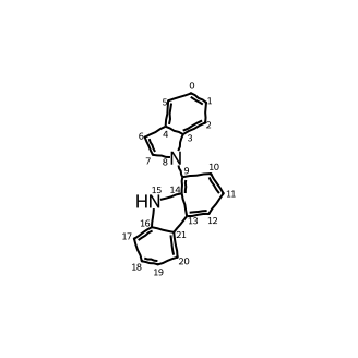 c1ccc2c(c1)ccn2-c1cccc2c1[nH]c1ccccc12